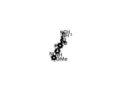 COc1ccccc1NC1(C#N)CCN(c2ccc(N3CC(CNC(C)=S)OC3=O)cc2F)CC1